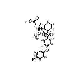 O=C(O)CCNC1(C(=O)NO)CCCCC1S(=O)(=O)c1ccc(Oc2ccc(F)cc2)cc1